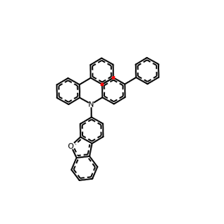 c1ccc(-c2ccc(N(c3ccc4c(c3)oc3ccccc34)c3ccccc3-c3ccccc3)cc2)cc1